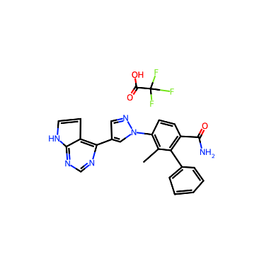 Cc1c(-n2cc(-c3ncnc4[nH]ccc34)cn2)ccc(C(N)=O)c1-c1ccccc1.O=C(O)C(F)(F)F